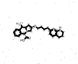 CC1c2ccccc2[C@@H](C(=O)O)N2C[C@H](OCCCCc3ccc4c(n3)NCCC4)CC12